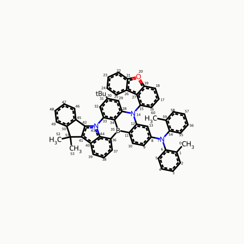 Cc1ccccc1N(c1ccc2c(c1)N(c1cccc3oc4ccccc4c13)c1cc(C(C)(C)C)cc3c1B2c1cccc2c4c(n-3c12)-c1ccccc1C4(C)C)c1ccccc1C